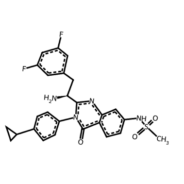 CS(=O)(=O)Nc1ccc2c(=O)n(-c3ccc(C4CC4)cc3)c([C@@H](N)Cc3cc(F)cc(F)c3)nc2c1